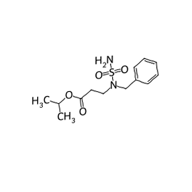 CC(C)OC(=O)CCN(Cc1ccccc1)S(N)(=O)=O